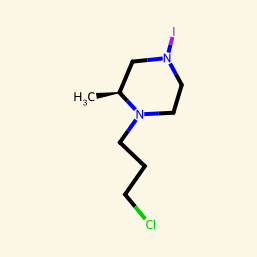 C[C@H]1CN(I)CCN1CCCCl